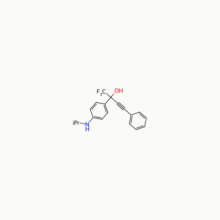 CC(C)Nc1ccc(C(O)(C#Cc2ccccc2)C(F)(F)F)cc1